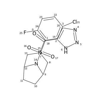 O=C(c1cnn[nH]1)N1CC2CCC(C1)N2S(=O)(=O)c1cc(Cl)ccc1F